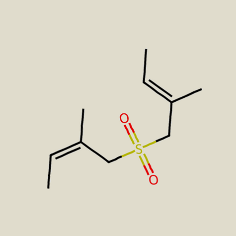 CC=C(C)CS(=O)(=O)CC(C)=CC